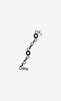 COCCCOCCCOc1ccc(OCCCOCCOc2ccc(C)cc2)cc1